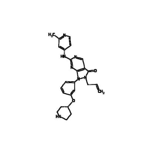 C=CCn1c(=O)c2cnc(Nc3ccnc(C)c3)nc2n1-c1cccc(OC2CCNCC2)c1